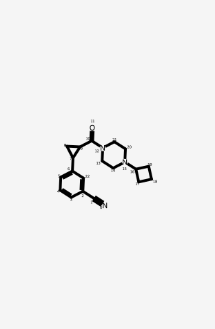 N#Cc1cccc(C2CC2C(=O)N2CCN(C3CCC3)CC2)c1